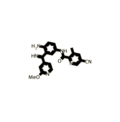 COc1cc(C(=N)c2cc(NC(=O)c3ncc(C#N)cc3C)ccc2N)ccn1